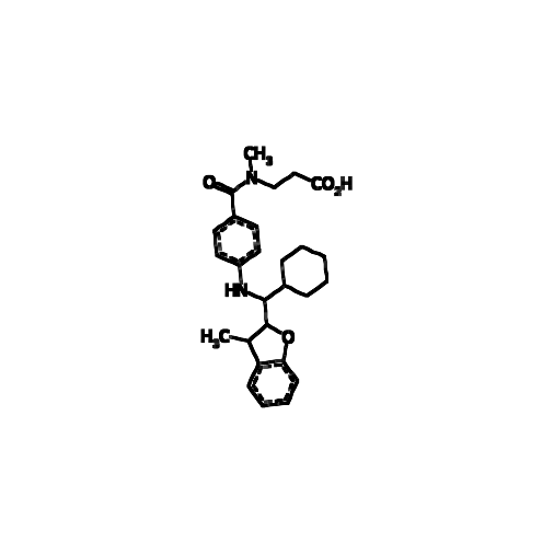 CC1c2ccccc2OC1C(Nc1ccc(C(=O)N(C)CCC(=O)O)cc1)C1CCCCC1